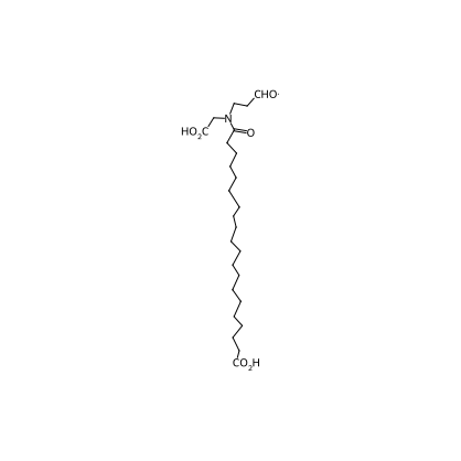 O=[C]CCN(CC(=O)O)C(=O)CCCCCCCCCCCCCCCCCCC(=O)O